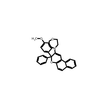 COc1ccc(C2(c3ccccc3)Oc3ccc4ccccc4c3C=C2N2CCOCC2)cc1